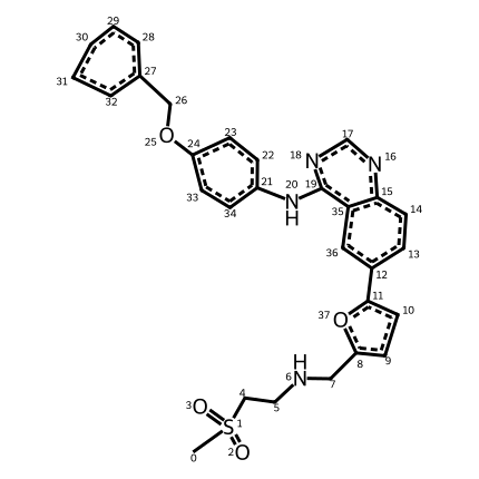 CS(=O)(=O)CCNCc1ccc(-c2ccc3ncnc(Nc4ccc(OCc5ccccc5)cc4)c3c2)o1